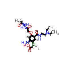 CC(=O)O.CCN(CC)CCNC(=O)c1cc(Cl)c(N)cc1OCC(=O)NNC(C)=O